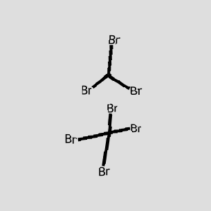 BrC(Br)(Br)Br.BrC(Br)Br